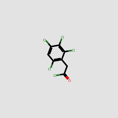 O=C(Cl)Cc1c(Cl)cc(Cl)c(Cl)c1Cl